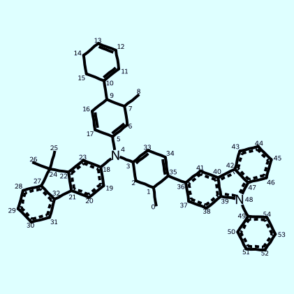 CC1CC(N(C2=CC(C)C(C3=CC=CCC3)C=C2)c2ccc3c(c2)C(C)(C)c2ccccc2-3)=CC=C1c1ccc2c(c1)c1ccccc1n2-c1ccccc1